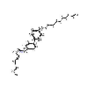 CCCCCCCCCCOc1cnc(-c2ccc(/C=C/C(C)OCCCC)cc2)nc1